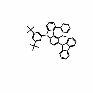 CCc1c(-n2c3ccccc3c3ccccc32)ccc2c1c1c(-c3ccccc3)cccc1n2-c1cc(C(C)(C)C)cc(C(C)(C)C)c1